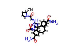 N#C[C@@H]1CCCN1C(=O)CNCCC1(c2nc(=O)o[nH]2)c2ccc(C(N)=O)cc2CCc2cc(C(N)=O)ccc21